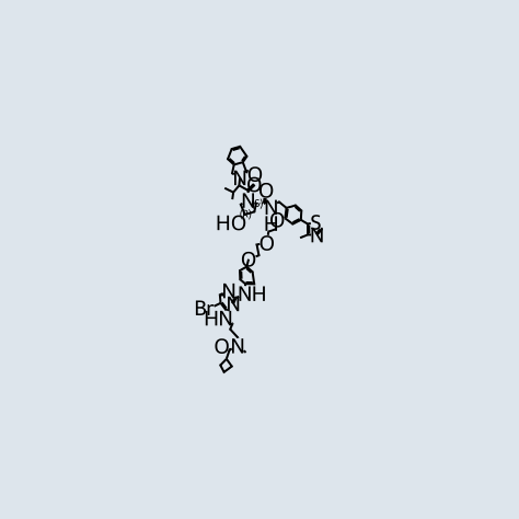 Cc1ncsc1-c1ccc(CNC(=O)[C@@H]2C[C@@H](O)CN2C(=O)C(C(C)C)N2Cc3ccccc3C2=O)c(OCCOCCOc2ccc(Nc3ncc(Br)c(NCCCN(C)C(=O)C4CCC4)n3)cc2)c1